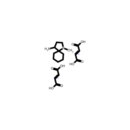 CN1CCC(N)C12CCCCC2.O=C(O)/C=C/C(=O)O.O=C(O)/C=C/C(=O)O